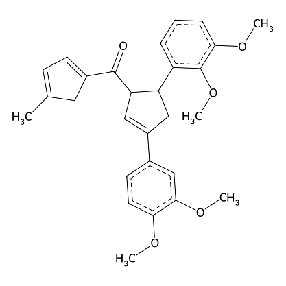 COc1ccc(C2=CC(C(=O)C3=CC=C(C)C3)C(c3cccc(OC)c3OC)C2)cc1OC